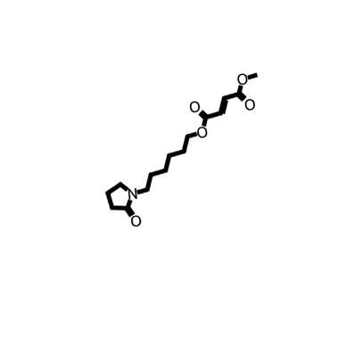 COC(=O)C=CC(=O)OCCCCCCN1CCCC1=O